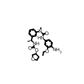 CCOc1cc(NC(=O)N(C)c2cccc([C@H](C)NC(=O)O[C@H]3CCOC3)c2)ccc1N